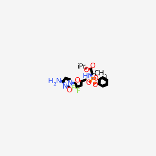 CC(C)OC(=O)[C@H](C)NP(=O)(OCC1CC(F)(F)C(n2ccc(N)nc2=O)O1)Oc1ccccc1